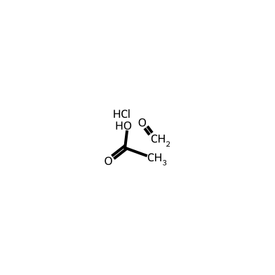 C=O.CC(=O)O.Cl